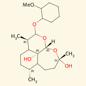 COC1CCCCC1OC1O[C@@H]2O[C@](C)(O)CCC3[C@H](C)CCC([C@H]1C)[C@]32O